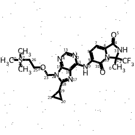 CC1(C(F)(F)F)NC(=O)c2ccc(Nc3ncnc4c3nc(C3CC3)n4COCCS(C)(C)C)c(=O)n21